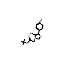 CC(C)(C)OC(=O)Cn1cnc(-c2ccc(Cl)cc2)c1Br